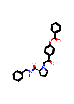 O=C(CN1CCC[C@H]1C(=O)NCc1ccccc1)c1ccc(OC(=O)c2ccccc2)cc1